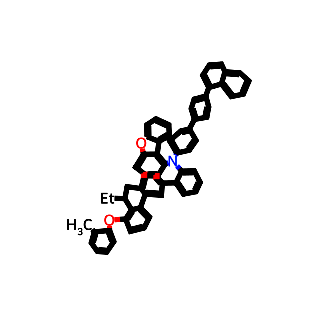 CCC1Cc2ccc(-c3ccccc3N(c3ccc(-c4ccc(-c5cccc6ccccc56)cc4)cc3)c3cccc4oc5ccccc5c34)cc2-c2cccc(Oc3ccccc3C)c21